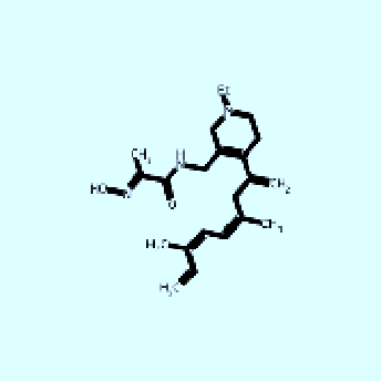 C=C/C(C)=C\C=C(\C)CC(=C)C1=C(CNC(=O)/C(C)=N/O)CN(CC)CC1